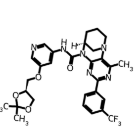 Cc1nc(-c2cccc(C(F)(F)F)c2)nc2c1N1CCC[C@@H](C1)N2C(=O)Nc1cncc(OC[C@H]2COC(C)(C)O2)c1